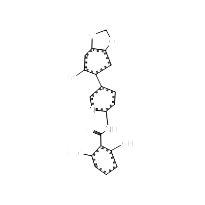 Cc1cccc(C)c1C(=O)Nc1ccc(-c2cc3c(cc2Br)OCO3)cn1